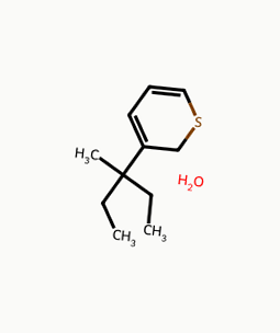 CCC(C)(CC)C1=CC=CSC1.O